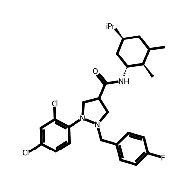 CC(C)[C@H]1CC(C)[C@@H](C)[C@H](NC(=O)C2CN(Cc3ccc(F)cc3)N(c3ccc(Cl)cc3Cl)C2)C1